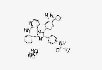 Cl.Cl.Cl.NC1(c2ccc(-c3c(-c4ccc(NC(=O)C5CC5)cc4)nc4n3-c3cccnc3Nc3ccccc3-4)cc2)CCC1